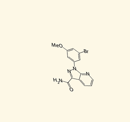 COc1cc(Br)cc(-n2nc(C(N)=O)c3cccnc32)c1